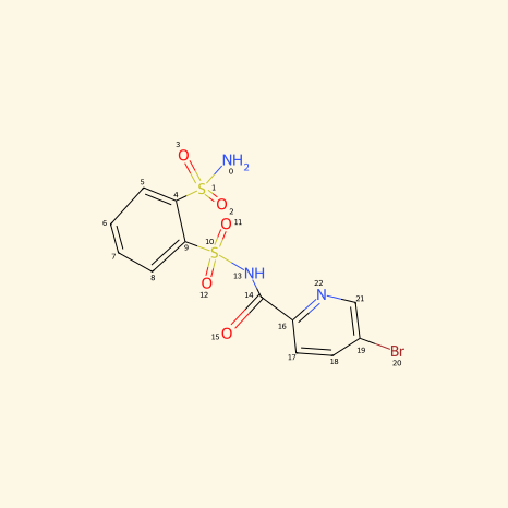 NS(=O)(=O)c1ccccc1S(=O)(=O)NC(=O)c1ccc(Br)cn1